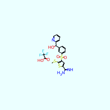 CSc1sc(C(=N)N)cc1S(=O)(=O)c1cccc(C(O)c2ccccn2)c1.O=C(O)C(F)(F)F